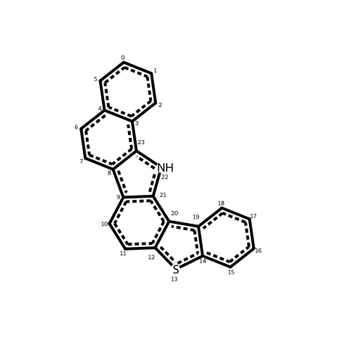 c1ccc2c(c1)ccc1c3ccc4sc5ccccc5c4c3[nH]c21